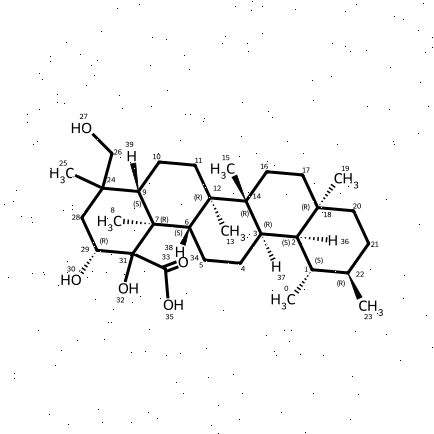 C[C@@H]1[C@H]2[C@H]3CC[C@@H]4[C@]5(C)[C@@H](CC[C@@]4(C)[C@]3(C)CC[C@@]2(C)CC[C@H]1C)C(C)(CO)C[C@@H](O)C5(O)C(=O)O